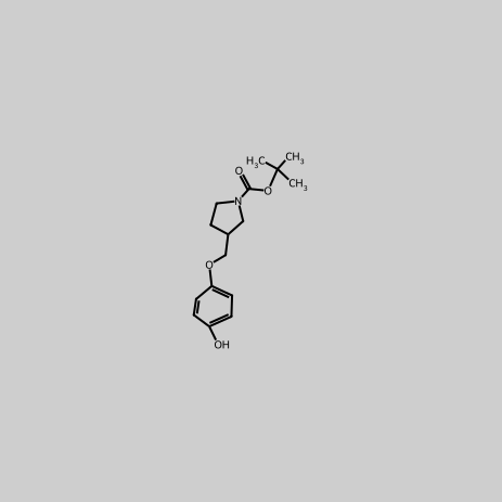 CC(C)(C)OC(=O)N1CCC(COc2ccc(O)cc2)C1